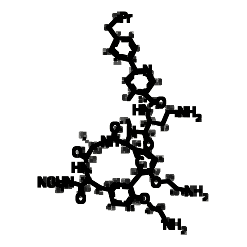 Cc1cc(-c2ccc(CC(C)C)cc2)ncc1C(=O)N[C@@H](CCN)C(=O)N(C)[C@@H]1C(=O)N[C@@H](C)C(=O)N[C@H](C(=O)NCC#N)Cc2ccc(OCCN)c(c2)-c2cc1ccc2OCCN